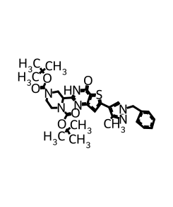 Cc1nn(Cc2ccccc2)cc1-c1cc2nc(C3CN(C(=O)OC(C)(C)C)CCN3C(=O)OC(C)(C)C)[nH]c(=O)c2s1